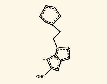 O=Cc1cc2cnn(CCc3ccccc3)c2[nH]1